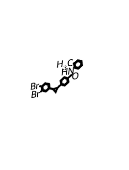 Cc1ccccc1NC(=O)c1ccc(C2CC2c2ccc(Br)c(Br)c2)cc1